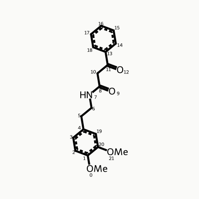 COc1ccc(CCNC(=O)CC(=O)c2ccccc2)cc1OC